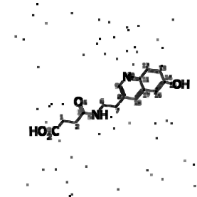 O=C(O)CCC(=O)NCCc1cnc2ccc(O)cc2c1